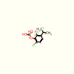 CC(C)c1ccc(F)c(OB(O)O)c1F